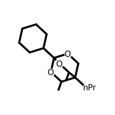 CCCC12COC(C3CCCCC3)(OC1C)OC2C